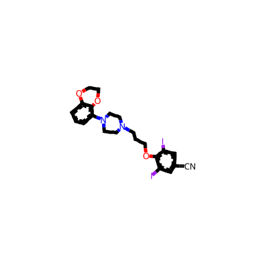 N#Cc1cc(I)c(OCCCN2CCN(c3cccc4c3OCCO4)CC2)c(I)c1